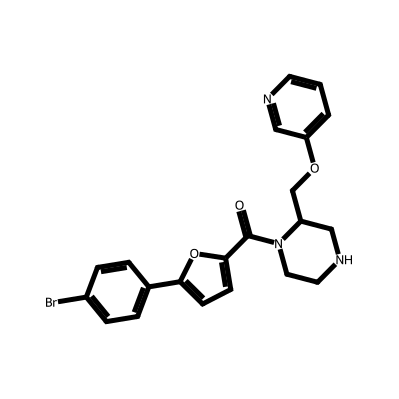 O=C(c1ccc(-c2ccc(Br)cc2)o1)N1CCNCC1COc1cccnc1